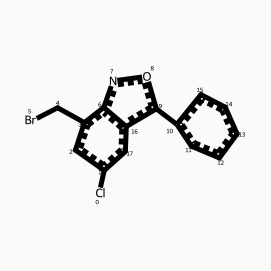 Clc1cc(CBr)c2noc(-c3ccccc3)c2c1